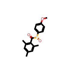 COc1ccc([P](=O)C(=O)c2c(C)cc(C)cc2C)cc1